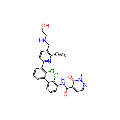 COc1nc(-c2cccc(-c3cccc(NC(=O)c4ccnn(C)c4=O)c3Cl)c2Cl)ccc1CNCCO